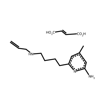 C=CCNCCCCc1cc(C)cc(N)n1.O=C(O)C=CC(=O)O